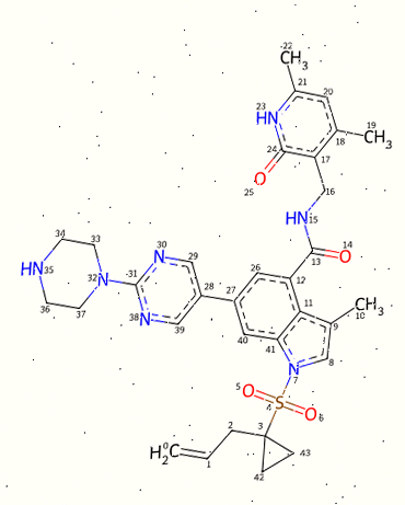 C=CCC1(S(=O)(=O)n2cc(C)c3c(C(=O)NCc4c(C)cc(C)[nH]c4=O)cc(-c4cnc(N5CCNCC5)nc4)cc32)CC1